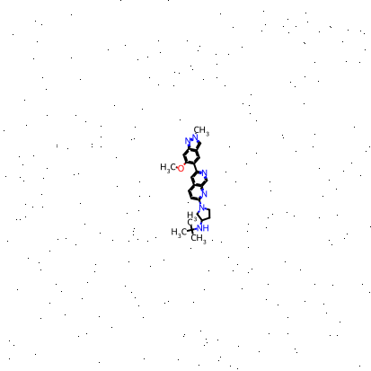 COc1cc2nn(C)cc2cc1-c1cc2ccc(N3CCC(NC(C)(C)C)C3)nc2cn1